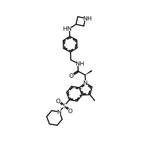 Cc1cn([C@H](C)C(=O)NCc2ccc(NC3CNC3)cc2)c2ccc(S(=O)(=O)N3CCCCC3)cc12